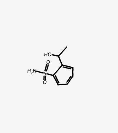 CC(O)c1ccccc1S(N)(=O)=O